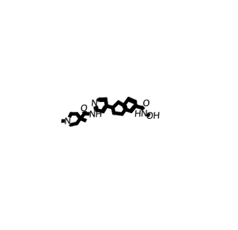 CN1CCC(C)(C(=O)Nc2cc(C3CCc4cc(C(=O)NO)ccc4C3)ccn2)CC1